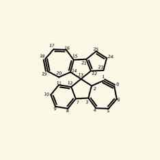 C1#CC2C(=CC=C1)c1ccccc1C21C2=C(C=CC#CC2)C2=C1CC=C2